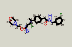 C=N/C(=C\C(F)=C(/C)c1ccc(CC(=O)NCc2cccc(F)c2)cc1)OCCN1CCOCC1